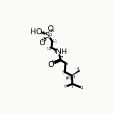 CC(C)[C@H](C)CCC(=O)NCCS(=O)(=O)O